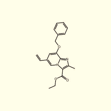 C=Cc1cc(OCc2ccccc2)c2nc(C)c(C(=O)OCC)n2c1